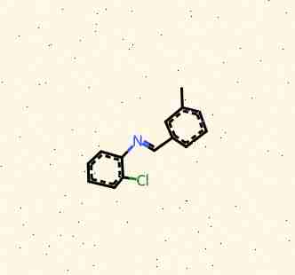 Cc1cccc(C=Nc2ccccc2Cl)c1